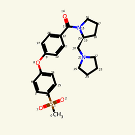 CS(=O)(=O)c1ccc(Oc2ccc(C(=O)N3CCC[C@H]3CN3CCCC3)cc2)cc1